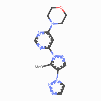 COc1c(-n2ccnn2)cnn1-c1cc(N2CCOCC2)ncn1